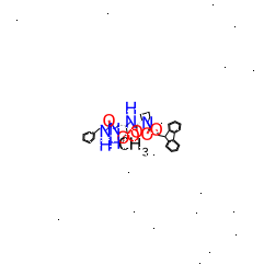 COC(=O)[C@H](CNC(=O)NCc1ccccc1)NC(=O)[C@@H]1CCCN1C(=O)OCC1c2ccccc2-c2ccccc21